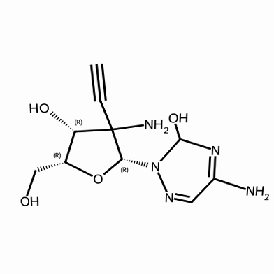 C#CC1(N)[C@@H](O)[C@@H](CO)O[C@H]1N1N=CC(N)=NC1O